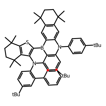 CC(C)(C)c1ccc(N2c3cc4c(cc3B3c5sc6c(c5N(c5ccc(C(C)(C)C)cc5-c5ccccc5)c5cc(C(C)(C)C)cc2c53)C(C)(C)CCC6(C)C)C(C)(C)CCC4(C)C)cc1